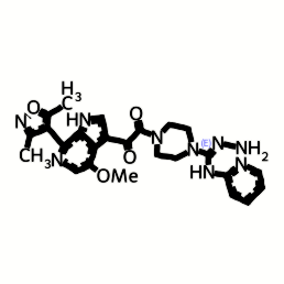 COc1cnc(-c2c(C)noc2C)c2[nH]cc(C(=O)C(=O)N3CCN(/C(=N/N)Nc4ccccn4)CC3)c12